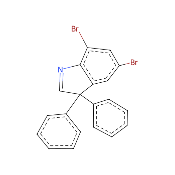 Brc1cc(Br)c2c(c1)C(c1ccccc1)(c1ccccc1)C=N2